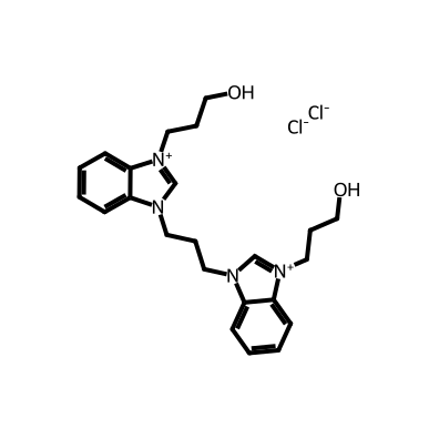 OCCC[n+]1cn(CCCn2c[n+](CCCO)c3ccccc32)c2ccccc21.[Cl-].[Cl-]